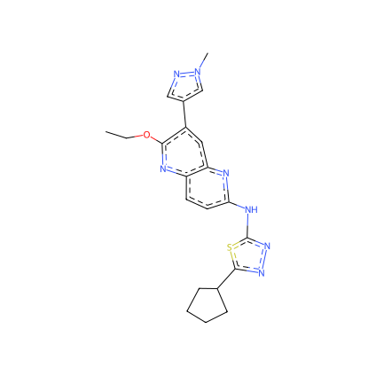 CCOc1nc2ccc(Nc3nnc(C4CCCC4)s3)nc2cc1-c1cnn(C)c1